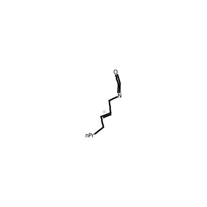 CCCC/C=C/CN=C=O